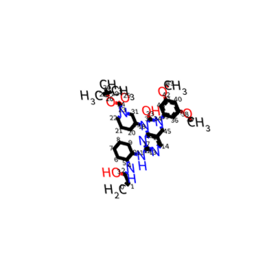 C=CC(O)NC1CCCCC1Nc1ncc2c(n1)N(C1CCCN(C(=O)OC(C)(C)C)C1)C(O)N(c1cc(OC)cc(OC)c1)C2